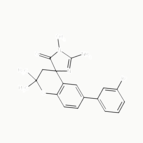 CN1C(=O)C2(CC(C)(C)Oc3ccc(-c4cccc(Br)c4)cc32)N=C1N